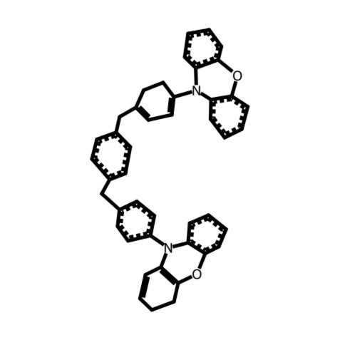 C1=CC2=C(CC1)Oc1ccccc1N2c1ccc(Cc2ccc(CC3=CC=C(N4c5ccccc5Oc5ccccc54)CC3)cc2)cc1